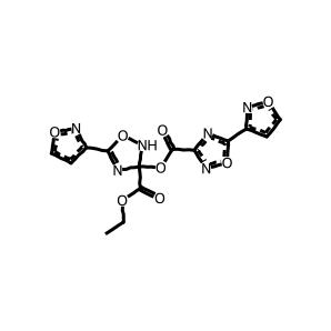 CCOC(=O)C1(OC(=O)c2noc(-c3ccon3)n2)N=C(c2ccon2)ON1